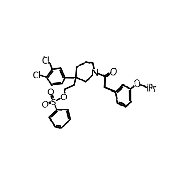 CC(C)Oc1cccc(CC(=O)N2CCCC(CCOS(=O)(=O)c3ccccc3)(c3ccc(Cl)c(Cl)c3)C2)c1